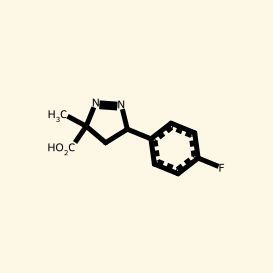 CC1(C(=O)O)CC(c2ccc(F)cc2)N=N1